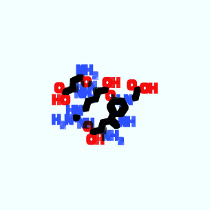 N=C(N)NCCC[C@H](N)C(=O)O.NC(=O)C[C@H](N)C(=O)O.NCC(=O)O.N[C@@H](Cc1c[nH]c2ccccc12)C(=O)O